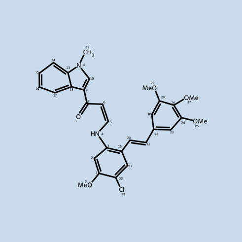 COc1cc(N/C=C\C(=O)c2cn(C)c3ccccc23)c(/C=C/c2cc(OC)c(OC)c(OC)c2)cc1Cl